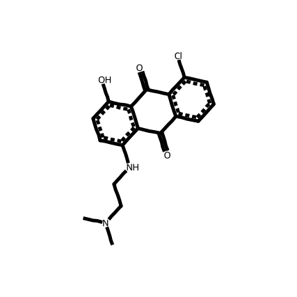 CN(C)CCNc1ccc(O)c2c1C(=O)c1cccc(Cl)c1C2=O